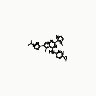 COc1ccc(Nc2nc(-c3nccn3C)nn3cc(-c4ccn(C(C)C)n4)c(C)c23)nn1